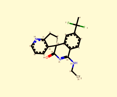 CC(F)(F)c1ccc2c(c1)[C@@]1(CCc3ncccc31)C(=O)N=C2NCC(F)(F)F